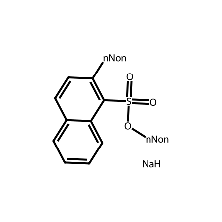 CCCCCCCCCOS(=O)(=O)c1c(CCCCCCCCC)ccc2ccccc12.[NaH]